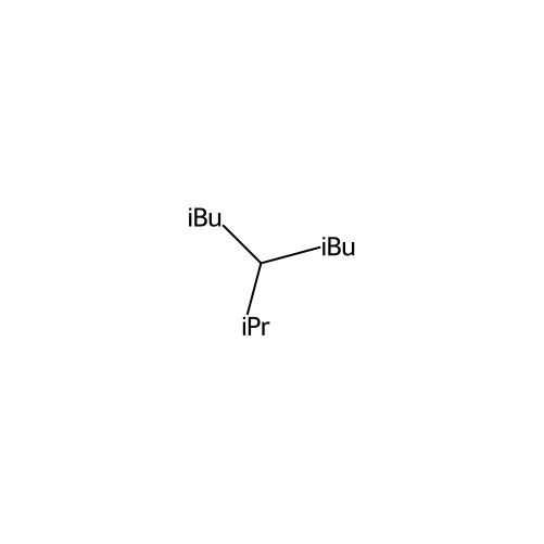 CCC(C)C(C(C)C)C(C)CC